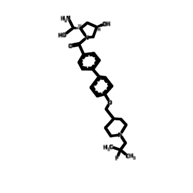 CC(C)(F)CN1CCC(COc2ccc(-c3ccc(C(=O)N4C[C@H](O)C[C@H]4C(N)O)cc3)cc2)CC1